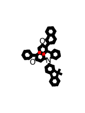 CC1(C)c2ccccc2-c2ccc(N(c3ccc4c(c3)oc3ccccc34)c3ccccc3-c3cccc4oc5c6ccccc6ccc5c34)cc21